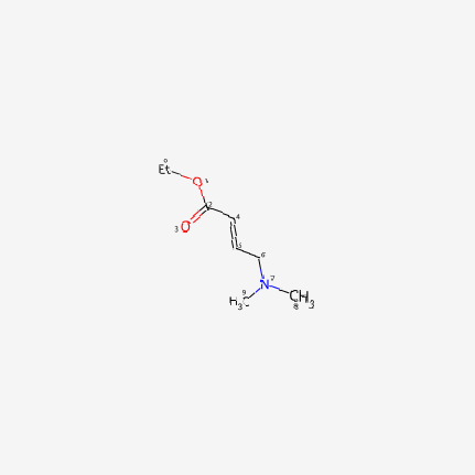 CCOC(=O)/C=C/CN(C)C